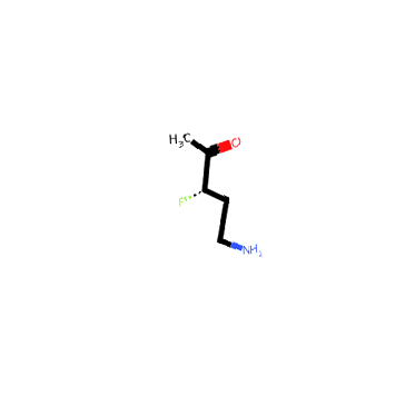 CC(=O)[C@@H](F)CCN